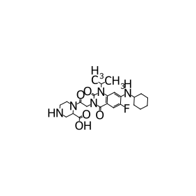 CC(C)n1c(=O)n(CC(=O)N2CCNCC2C(=O)O)c(=O)c2cc(F)c(NC3CCCCC3)cc21